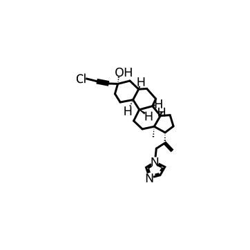 C=C(Cn1ccnc1)[C@H]1CC[C@H]2[C@@H]3CC[C@@H]4C[C@](O)(C#CCl)CC[C@@H]4[C@H]3CC[C@]12C